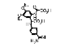 CCOc1cc(NC(=O)C(=O)O)c(C(Nc2ccc(C(=N)N)cc2)C(=O)O)cc1OCC